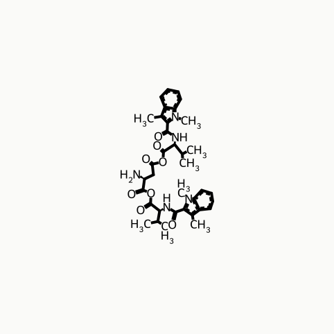 Cc1c(C(=O)N[C@H](C(=O)OC(=O)C[C@H](N)C(=O)OC(=O)[C@@H](NC(=O)c2c(C)c3ccccc3n2C)C(C)C)C(C)C)n(C)c2ccccc12